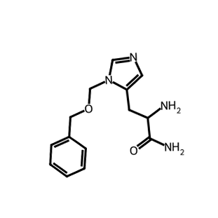 NC(=O)C(N)Cc1cncn1COCc1ccccc1